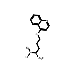 CCN(CC)[C@@H](CCCNc1ccnc2ccccc12)C(=O)O